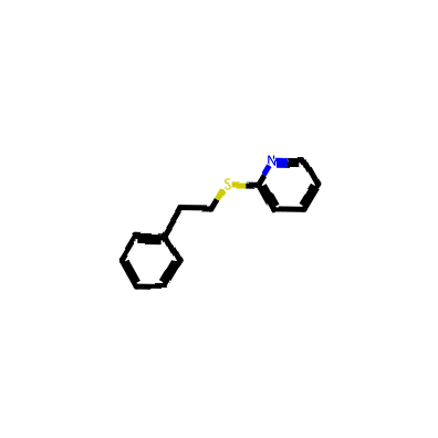 c1ccc(CCSc2ccccn2)cc1